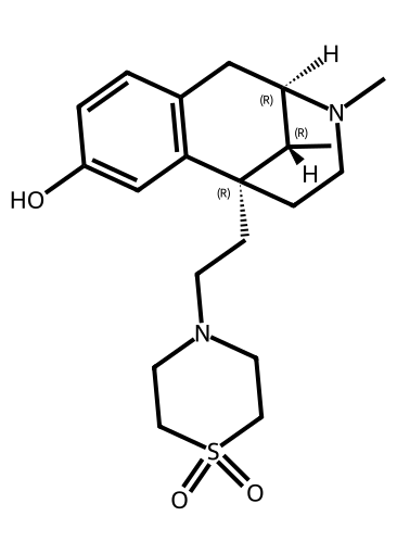 C[C@H]1[C@H]2Cc3ccc(O)cc3[C@]1(CCN1CCS(=O)(=O)CC1)CCN2C